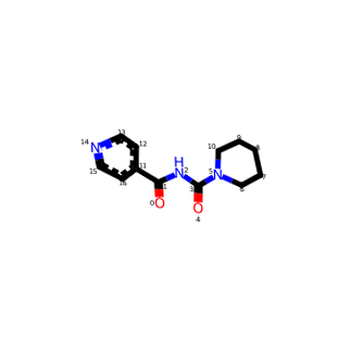 O=C(NC(=O)N1CCCCC1)c1ccncc1